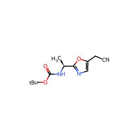 C[C@H](NC(=O)OC(C)(C)C)c1ncc(CC#N)o1